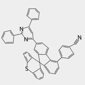 N#Cc1ccc(-c2cccc3c2-c2ccc(-c4cc(-c5ccccc5)nc(-c5ccccc5)n4)cc2C32c3ccccc3Sc3ccccc32)cc1